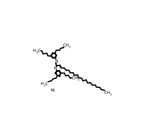 CCCCCCCCCCCCCCCCCCCC/C=C/C(/C=N/c1cc(CCCCC)cc(CCCCC)c1)=N\c1cc(CCCCC)cc(CCCCC)c1.[Ni]